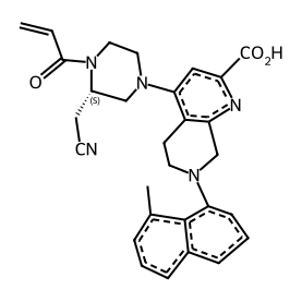 C=CC(=O)N1CCN(c2cc(C(=O)O)nc3c2CCN(c2cccc4cccc(C)c24)C3)C[C@@H]1CC#N